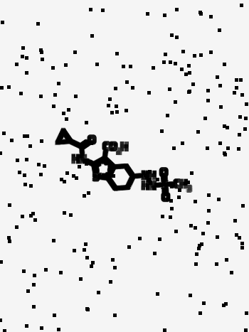 CS(=O)(=O)NNC1CCc2sc(NC(=O)C3CC3)c(C(=O)O)c2C1